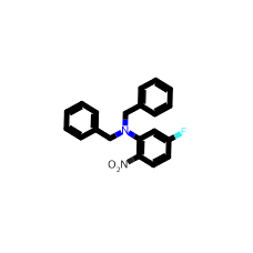 O=[N+]([O-])c1ccc(F)cc1N(Cc1ccccc1)Cc1ccccc1